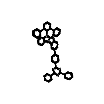 c1ccc(-c2nc(-c3ccccc3)nc(-c3ccc(-c4ccc5nc6n(-c7c(-c8ccccc8)cccc7-c7ccccc7)c7ccccc7n6c5c4)cc3)n2)cc1